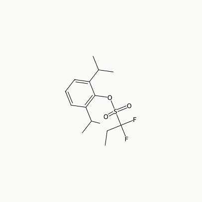 CCC(F)(F)S(=O)(=O)Oc1c(C(C)C)cccc1C(C)C